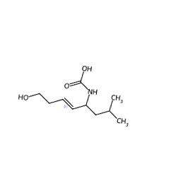 CC(C)CC(/C=C/CCO)NC(=O)O